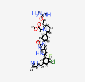 COC(=O)CN1[C@H](CCOC(=N)N)CCC[C@H]1c1ccc(-n2cc3cc(-c4cc(CCC[C@H](C)N)cc(Cl)c4F)[nH]c3nc2=O)cc1